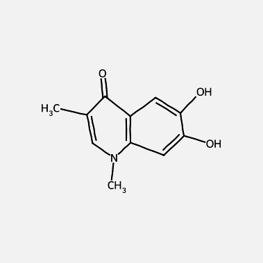 Cc1cn(C)c2cc(O)c(O)cc2c1=O